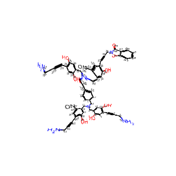 NCC#Cc1cc(O)c(CN(Cc2ccc(CN(Cc3cc(O)c(C#CCN)cc3O)Cc3cc(O)c(C#CCn4oc5ccccc5c4=O)cc3N=O)cc2)Cc2cc(O)c(C#CCN)cc2N=O)cc1O